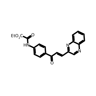 CCOC(=O)C(=O)Nc1ccc(C(=O)C=Cc2cnc3ccccc3n2)cc1